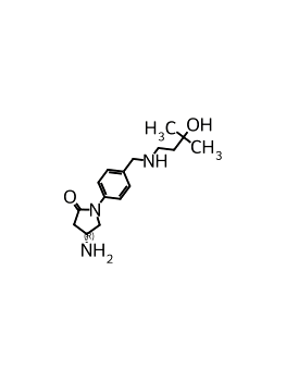 CC(C)(O)CCNCc1ccc(N2C[C@H](N)CC2=O)cc1